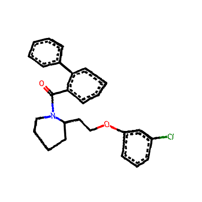 O=C(c1ccccc1-c1ccccc1)N1CCCCC1CCOc1cccc(Cl)c1